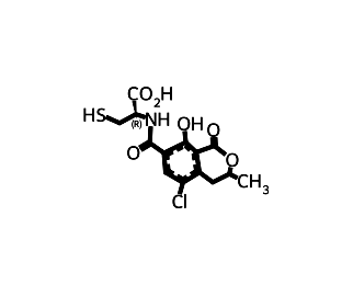 CC1Cc2c(Cl)cc(C(=O)N[C@@H](CS)C(=O)O)c(O)c2C(=O)O1